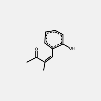 CC(=O)C(C)=Cc1ccccc1O